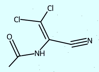 CC(=O)NC(C#N)=C(Cl)Cl